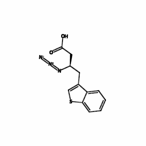 [N-]=[N+]=N[C@@H](CC(=O)O)Cc1csc2ccccc12